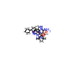 CS(=O)(=O)c1c([C@H]2C[C@H]3CC[C@@H](C2)N3C(=O)c2cc3cccnc3[nH]2)nc2c(-c3ccc(-c4ccccc4)nc3)cnn2c1N